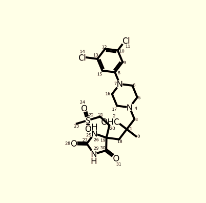 CC(C=O)(CN1CCN(c2cc(Cl)cc(Cl)c2)CC1)CC1(CCS(C)(=O)=O)NC(=O)NC1=O